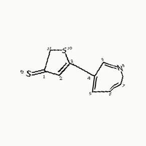 S=C1C=C(c2cccnc2)SC1